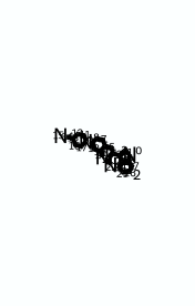 Cn1cc(-c2cc3ccc(N4CCC(C#N)CC4)cc3nc2N)c2ccccc21